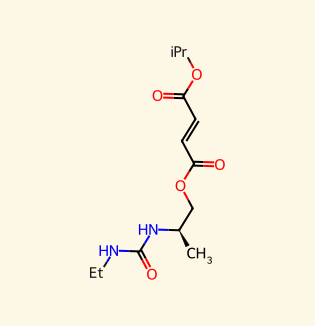 CCNC(=O)N[C@H](C)COC(=O)/C=C/C(=O)OC(C)C